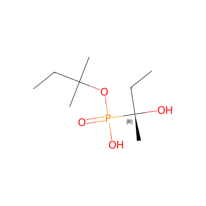 CCC(C)(C)OP(=O)(O)[C@@](C)(O)CC